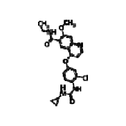 CCNC(=O)c1cc2c(Oc3ccc(NC(=O)[AsH]C4CC4)c(Cl)c3)ccnc2cc1OC